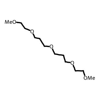 COCCOCCCOCCCOCCOC